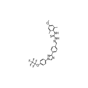 COc1cc(C)c(NC(=S)N/N=C/c2ccc(-c3ncn(-c4ccc(OC(F)(F)C(F)(F)F)cc4)n3)cc2)c(C)c1